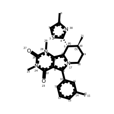 Cc1csc([C@H]2c3c4c(c(-c5cccc(F)c5)n3CC[C@@H]2C)c(=O)n(C)c(=O)n4C)n1